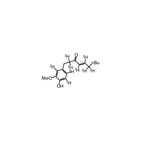 [2H]/C(C(=O)C([2H])([2H])Cc1c([2H])c([2H])c(O)c(OC)c1[2H])=C(/[2H])C([2H])([2H])CCCC